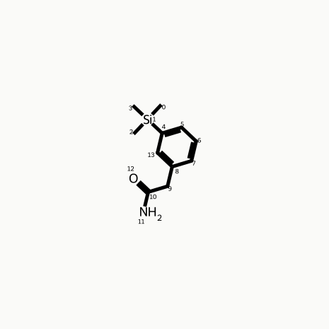 C[Si](C)(C)c1cccc(CC(N)=O)c1